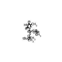 Cc1cn(C2OC(CO[Si](C)(C)C(C)(C)C)C2COS(C)(=O)=O)c(=O)[nH]c1=O